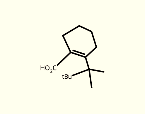 CC(C)(C)C(C)(C)C1=C(C(=O)O)CCCC1